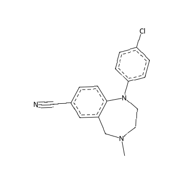 CN1CCN(c2ccc(Cl)cc2)c2ccc(C#N)cc2C1